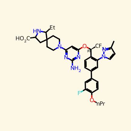 CCCOc1ccc(-c2ccc([C@@H](Oc3cc(N4CCC5(CC4)CC(C(=O)O)NC5CC)nc(N)n3)C(F)(F)F)c(-n3ccc(C)n3)c2)cc1F